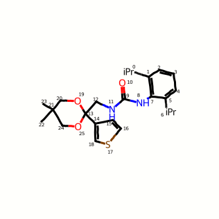 CC(C)c1cccc(C(C)C)c1NC(=O)NCC1(c2ccsc2)OCC(C)(C)CO1